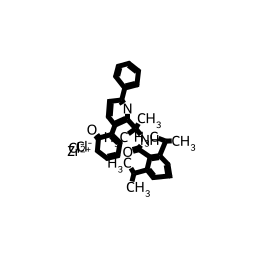 CC(C)c1cccc(C(C)C)c1C(=O)NC(C)(C)c1nc(-c2ccccc2)ccc1C1=CC=CCC1=O.[Cl-].[Cl-].[Zr+2]